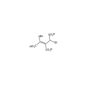 CCCC/C(C(=O)O)=C(/C(=O)O)C(CC)S(=O)(=O)O